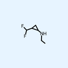 CCNC1CC1C(F)F